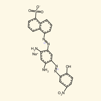 Nc1cc(N)c(/N=N/c2cccc3c(S(=O)(=O)[O-])cccc23)cc1/N=N/c1cc([N+](=O)[O-])ccc1O.[Na+]